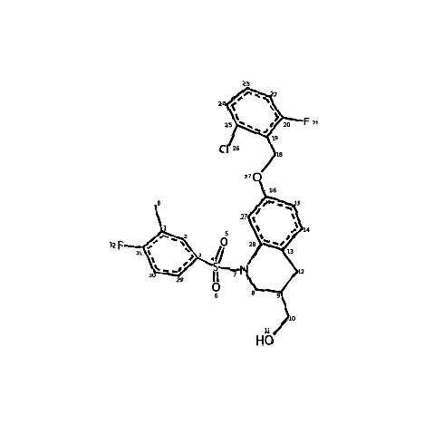 Cc1cc(S(=O)(=O)N2CC(CO)Cc3ccc(OCc4c(F)cccc4Cl)cc32)ccc1F